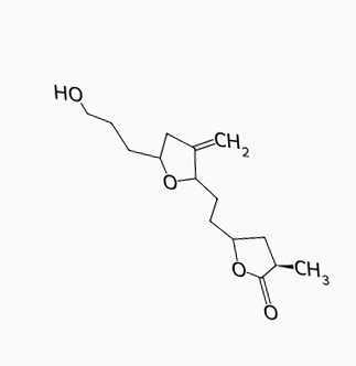 C=C1CC(CCCO)OC1CCC1C[C@@H](C)C(=O)O1